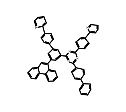 c1ccc(-c2ccc(-c3nc(-c4ccc(-c5ccccn5)cc4)nc(-c4cc(-c5ccc(-c6ccccn6)cc5)cc(-c5cc6ccccc6c6ccccc56)c4)n3)cc2)cc1